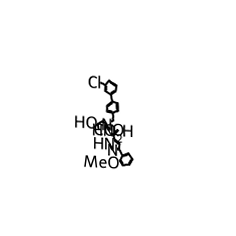 COc1ccccc1-c1cc(C(=O)NN(Cc2ccc(-c3cccc(Cl)c3)cc2)CC(O)C(=O)O)[nH]n1